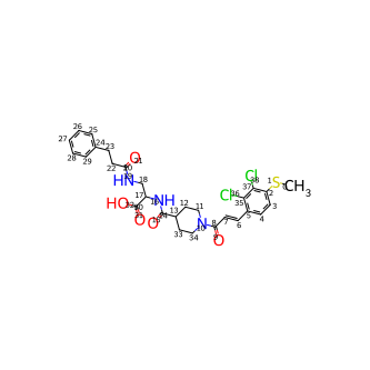 CSc1ccc(C=CC(=O)N2CCC(C(=O)NC(CNC(=O)CCc3ccccc3)C(=O)O)CC2)c(Cl)c1Cl